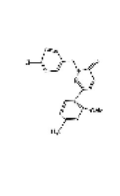 COc1cc(C)ccc1-c1ccc(=O)n(Cc2ccc(Cl)cc2)n1